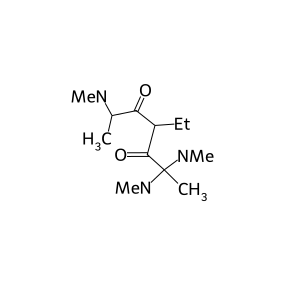 CCC(C(=O)C(C)NC)C(=O)C(C)(NC)NC